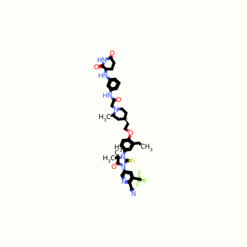 CCc1cc(N2C(=S)N(c3cnc(C#N)c(C(F)(F)F)c3)C(=O)C2(C)C)ccc1OCC[C@@H]1CCN(CC(=O)Nc2cccc(NC3CCC(=O)NC3=O)c2)[C@H](C)C1